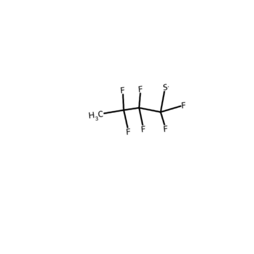 CC(F)(F)C(F)(F)C(F)(F)[S]